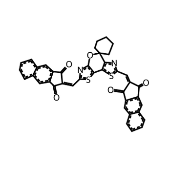 O=C1C(=Cc2nc3c(s2)-c2sc(C=C4C(=O)c5cc6ccccc6cc5C4=O)nc2C2(CCCCC2)O3)C(=O)c2cc3ccccc3cc21